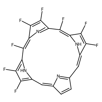 FC1=C(F)c2nc1c(F)c1[nH]c(cc3nc(cc4[nH]c(c2F)c(F)c4F)C=C3)c(F)c1F